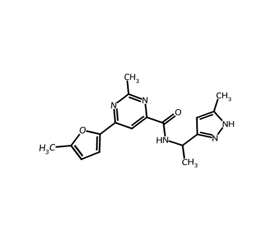 Cc1nc(C(=O)NC(C)c2cc(C)[nH]n2)cc(-c2ccc(C)o2)n1